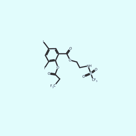 O=C(CC(F)(F)F)Oc1c(I)cc(I)cc1C(=O)OCCNS(=O)(=O)C(F)(F)F